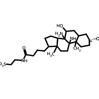 CC12CCC3(N)C4(C)CC[C@@H](O)CC4CC(O)C3(N)C1CCC2CCCC(=O)NCCS(=O)(=O)O